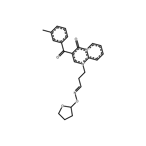 Cc1cccc(C(=O)c2c[n+](CCC=NOC3CCCO3)c3ccccn3c2=O)c1